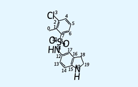 Cc1c(Cl)cccc1S(=O)(=O)Nc1ccc2c(c1)CCN2